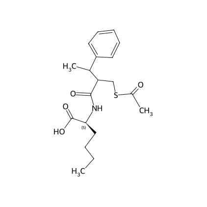 CCCC[C@H](NC(=O)C(CSC(C)=O)C(C)c1ccccc1)C(=O)O